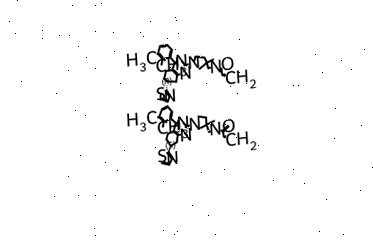 C=CC(=O)N1CC2(CCN(c3nc4c(c(-c5cccc(C)c5C)n3)CC[C@@H](c3nccs3)C4)C2)C1.C=CC(=O)N1CC2(CCN(c3nc4c(c(-c5cccc(C)c5C)n3)CC[C@H](c3nccs3)C4)C2)C1